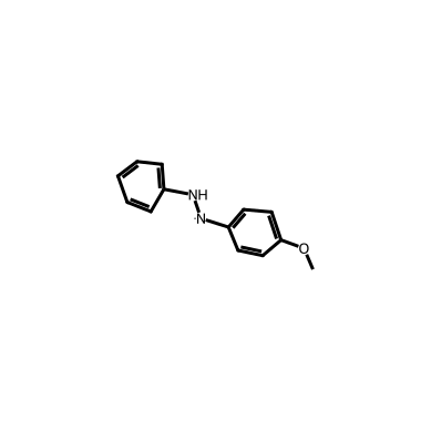 COc1ccc([N]Nc2ccccc2)cc1